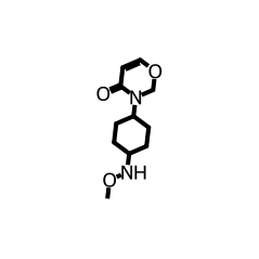 CONC1CCC(N2COC=CC2=O)CC1